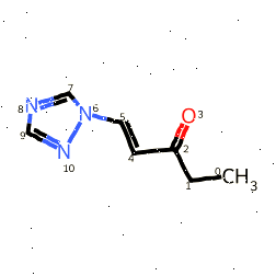 CCC(=O)C=Cn1cncn1